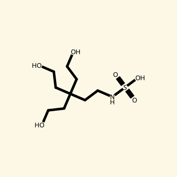 O=S(=O)(O)NCCC(CCO)(CCO)CCO